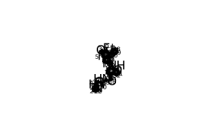 CC[C@@H]1C(=O)N(C)c2cnc(Nc3ccc(C(=O)NC[C@@H]4CN5CCC[C@@H]5CO4)c4c3OCC4)nc2N1C1CCCC1